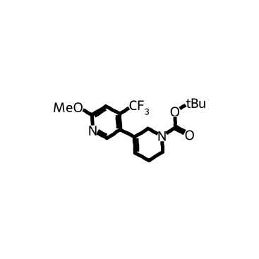 COc1cc(C(F)(F)F)c(C2=CCCN(C(=O)OC(C)(C)C)C2)cn1